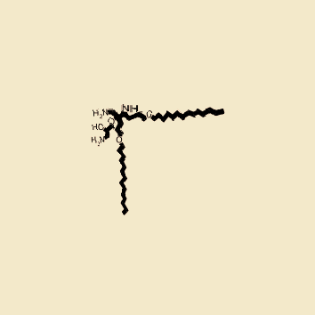 CCCCCCCCCCCCCCOCCCC(N)C(CN)(CCCOCCCCCCCCCCCCCC)OCC(O)CN